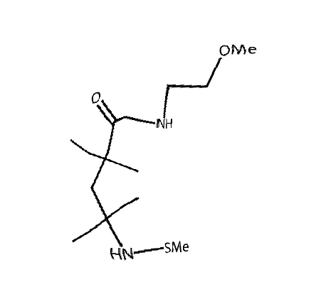 COCCNC(=O)C(C)(C)CC(C)(C)NSC